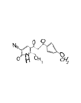 CCc1[nH]c(=O)c(C#N)cc1C(=O)CC(=O)c1ccc(OC)cc1